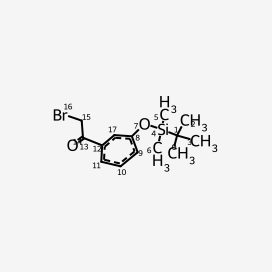 CC(C)(C)[Si](C)(C)Oc1cccc(C(=O)CBr)c1